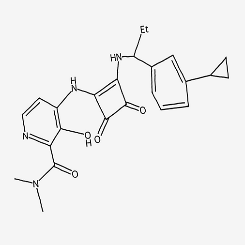 CCC(Nc1c(Nc2ccnc(C(=O)N(C)C)c2O)c(=O)c1=O)c1cccc(C2CC2)c1